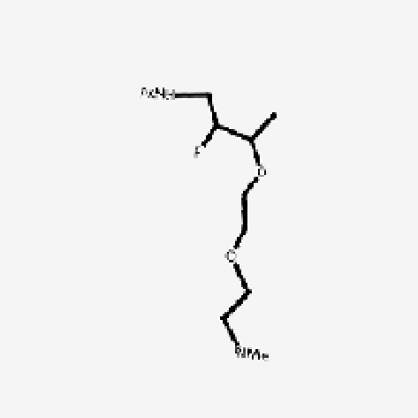 CNCCOCCOC(C)C(F)CNC(C)=O